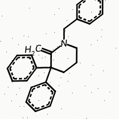 C=C1N(Cc2ccccc2)CCCC1(c1ccccc1)c1ccccc1